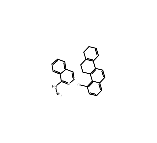 Clc1cccc2ccc3c(c12)CCC1=C3C=CCC1.NNc1nncc2ccccc12